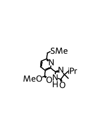 COC(=O)c1ccc(CSC)nc1C1=NC(C)(C(C)C)C(=O)N1